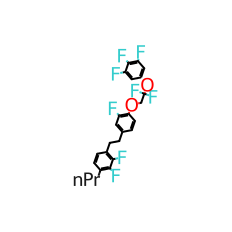 CCCc1ccc(CCc2ccc(OCC(F)(F)Oc3cc(F)c(F)c(F)c3)c(F)c2)c(F)c1F